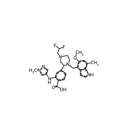 COc1cc(C)c2[nH]ccc2c1CN1CCN(CC(F)F)CC1c1ccc(C(=O)O)c(Nc2cnn(C)c2)c1